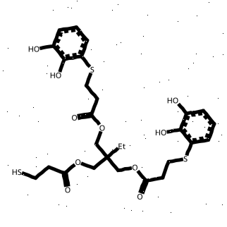 CCC(COC(=O)CCS)(COC(=O)CCSc1cccc(O)c1O)COC(=O)CCSc1cccc(O)c1O